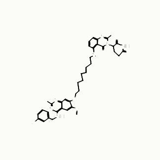 COc1cc2c(N[C@H](C)c3cccc(Br)c3)nc(C)nc2cc1OCCCCCCCCCNc1cccc2nc(C)n(C3CCC(=O)NC3=O)c(=O)c12